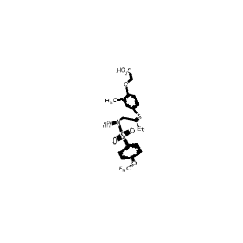 CCCN(C[C@@H](CC)Sc1ccc(OCC(=O)O)c(C)c1)S(=O)(=O)c1ccc(OC(F)(F)F)cc1